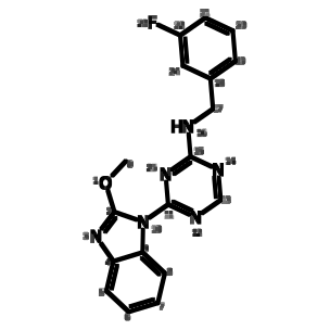 COc1nc2ccccc2n1-c1ncnc(NCc2cccc(F)c2)n1